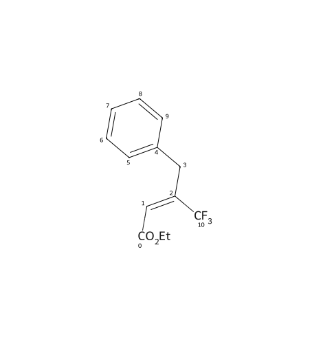 CCOC(=O)C=C(Cc1ccccc1)C(F)(F)F